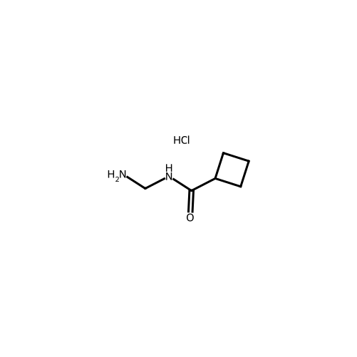 Cl.NCNC(=O)C1CCC1